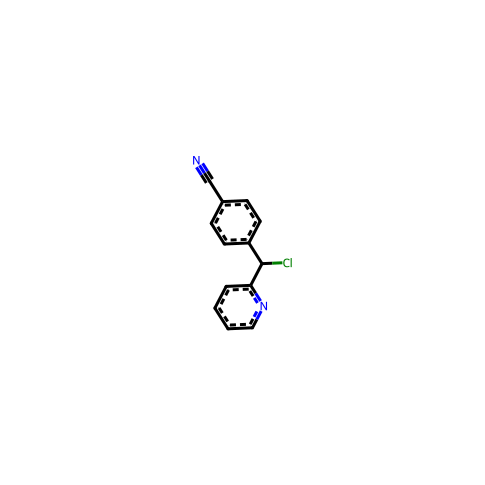 N#Cc1ccc(C(Cl)c2ccccn2)cc1